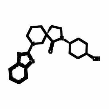 O=C1N([C@H]2CC[C@H](O)CC2)CC[C@]12CCCN(c1nc3ccccc3s1)C2